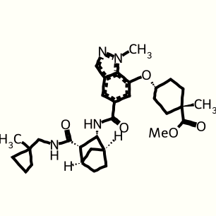 COC(=O)[C@]1(C)CC[C@H](Oc2cc(C(=O)N[C@@H]3[C@H]4CC[C@H](C4)[C@@H]3C(=O)NCC3(C)CCC3)cc3cnn(C)c23)CC1